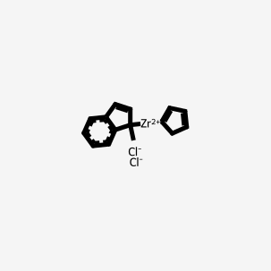 C[C]1([Zr+2][C]2=CC=CC2)C=Cc2ccccc21.[Cl-].[Cl-]